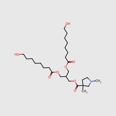 CN1CCC(C)(C(=O)OCC(COC(=O)CCCCCCCO)COC(=O)CCCCCCCO)C1